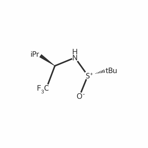 CC(C)[C@@H](N[S@@+]([O-])C(C)(C)C)C(F)(F)F